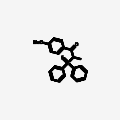 COc1ccc(C(=O)C(C)P(=S)(c2ccccc2)c2ccccc2)cc1